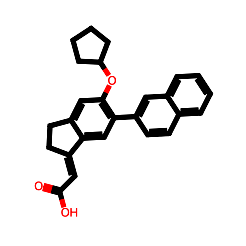 O=C(O)C=C1CCc2cc(OC3CCCC3)c(-c3ccc4ccccc4c3)cc21